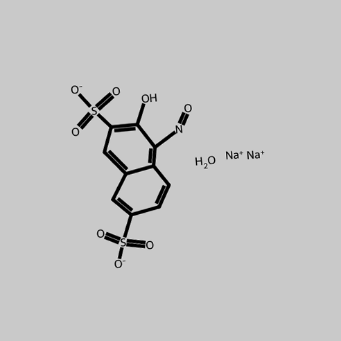 O.O=Nc1c(O)c(S(=O)(=O)[O-])cc2cc(S(=O)(=O)[O-])ccc12.[Na+].[Na+]